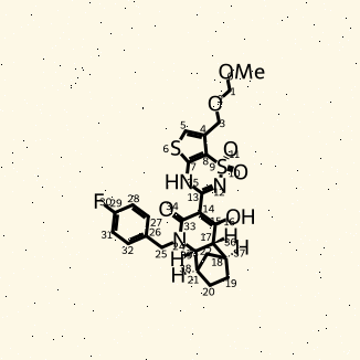 COCOCc1csc2c1S(=O)(=O)N=C(C1=C(O)[C@@H]3[C@H]4CC[C@H](C4)[C@@H]3N(Cc3ccc(F)cc3)C1=O)N2